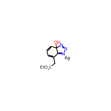 CCOC(=O)CC1=CC=CC2(O)N=NN=C12.[Ag]